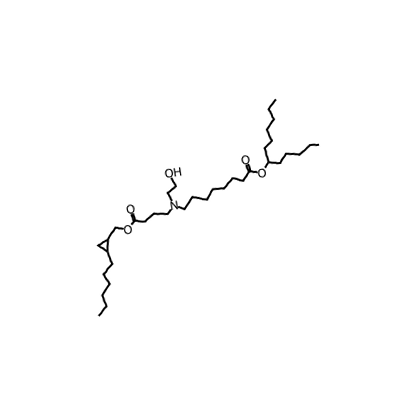 CCCCCCC(CCCCC)OC(=O)CCCCCCCN(CCO)CCCC(=O)OCC1CC1CCCCCC